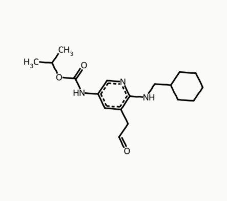 CC(C)OC(=O)Nc1cnc(NCC2CCCCC2)c(CC=O)c1